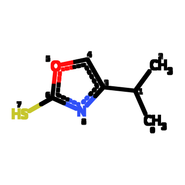 CC(C)c1coc(S)n1